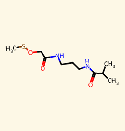 CSOCC(=O)NCCCNC(=O)C(C)C